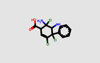 NC1C(Cl)(c2ccccc2)C(Cl)=CC(C(=O)O)C1(N)Cl